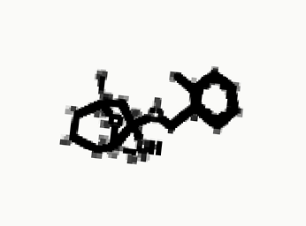 Cc1ccccc1CO[C@@]1(O)C[C@]2(C)CCC[C@@]1(C)O2